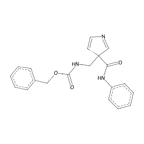 O=C(NCC1(C(=O)Nc2ccccc2)C=CN=C1)OCc1ccccc1